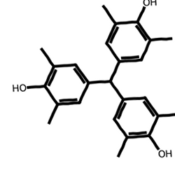 Cc1cc([C](c2cc(C)c(O)c(C)c2)c2cc(C)c(O)c(C)c2)cc(C)c1O